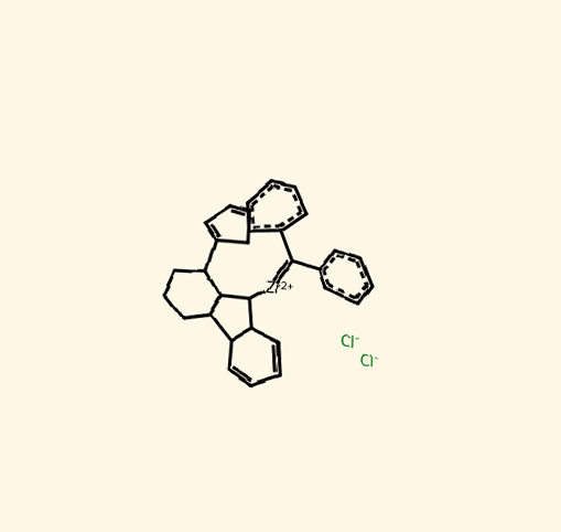 C1=CCC(C2CCCC3C4C=CC=CC4[CH]([Zr+2]=[C](c4ccccc4)c4ccccc4)C23)=C1.[Cl-].[Cl-]